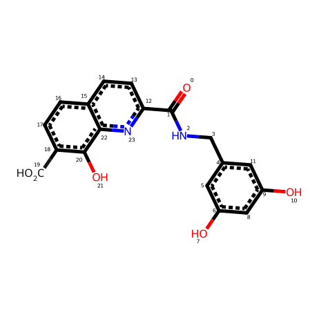 O=C(NCc1cc(O)cc(O)c1)c1ccc2ccc(C(=O)O)c(O)c2n1